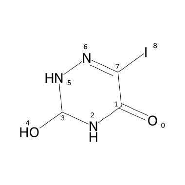 O=C1NC(O)NN=C1I